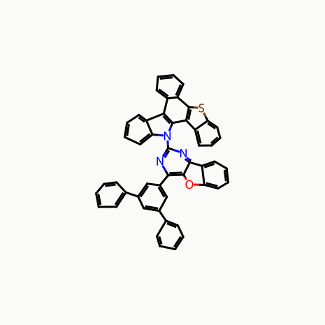 c1ccc(-c2cc(-c3ccccc3)cc(-c3nc(-n4c5ccccc5c5c6ccccc6c6sc7ccccc7c6c54)nc4c3oc3ccccc34)c2)cc1